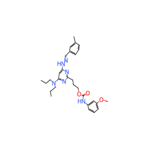 CCCN(CCC)c1cc(N/N=C/c2cccc(C)c2)nc(CCCOC(=O)Nc2cccc(OC)c2)n1